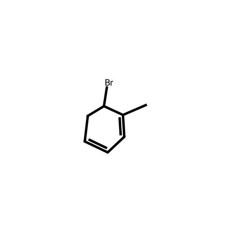 CC1=CC=CCC1Br